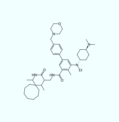 CCN(c1cc(-c2ccc(CN3CCOCC3)cc2)cc(C(=O)NCC2C(=O)NC(C)C3(CCCCCCC3)C2C)c1C)[C@H]1CC[C@H](N(C)C)CC1